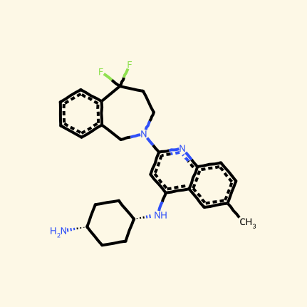 Cc1ccc2nc(N3CCC(F)(F)c4ccccc4C3)cc(N[C@H]3CC[C@@H](N)CC3)c2c1